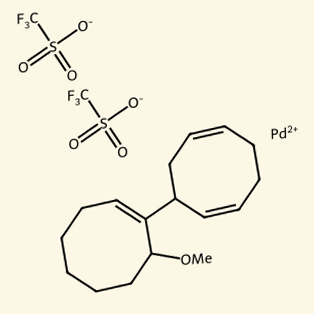 COC1CCCCCC=C1C1C=CCCC=CC1.O=S(=O)([O-])C(F)(F)F.O=S(=O)([O-])C(F)(F)F.[Pd+2]